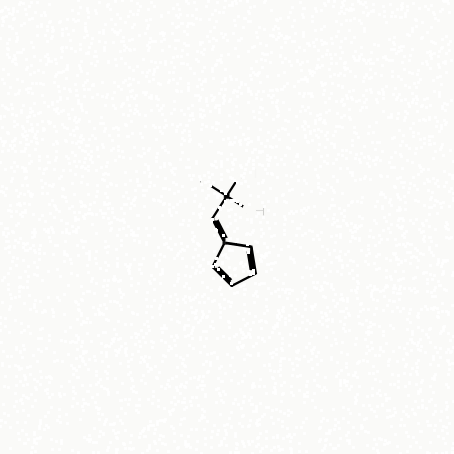 CC(C)(C)C=C1C=CC=C1